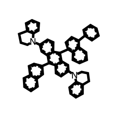 c1ccc(-c2ccc(-c3c4ccc(N5CCCc6ccccc65)cc4c(-c4ccc5ccccc5c4)c4ccc(N5CCCc6ccccc65)cc34)c3ccccc23)cc1